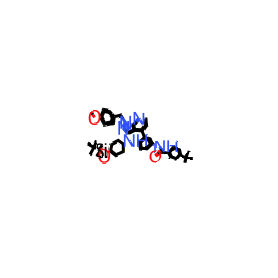 COc1ccc(Cn2nc(N[C@H]3CC[C@H](O[Si](C)(C)C(C)(C)C)CC3)c3c(-c4cccc(NC(=O)c5ccc(C(C)(C)C)cc5)c4)ccnc32)cc1